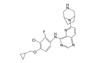 Fc1c(Nc2ncnc3ccc(N4C5CCC4CNC5)nc23)ccc(OCC2CC2)c1Cl